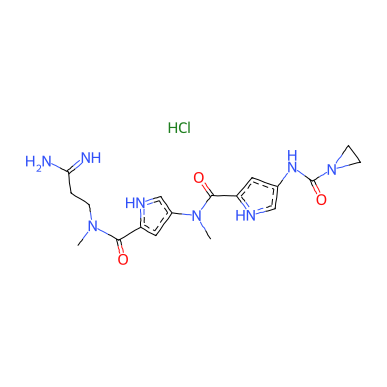 CN(CCC(=N)N)C(=O)c1cc(N(C)C(=O)c2cc(NC(=O)N3CC3)c[nH]2)c[nH]1.Cl